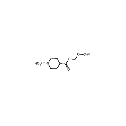 O=COCOC(=O)C1CCN(C(=O)O)CC1